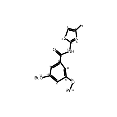 Cc1csc(NC(=O)c2cc(OCC(C)C)cc(OC(C)C)c2)n1